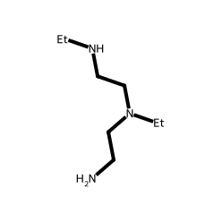 CCNCCN(CC)CCN